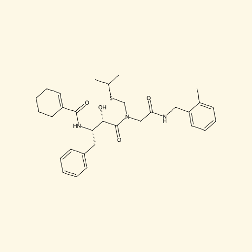 Cc1ccccc1CNC(=O)CN(CSC(C)C)C(=O)[C@@H](O)[C@H](Cc1ccccc1)NC(=O)C1=CCCCC1